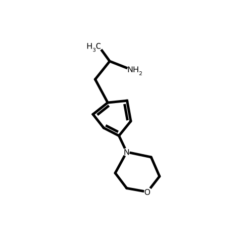 CC(N)Cc1ccc(N2CCOCC2)cc1